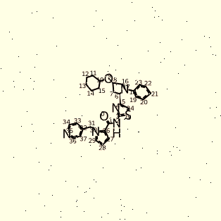 O=C(Nc1nc([C@H]2C[C@@H](OC3CCCCC3)CN2c2ccccc2)cs1)c1cccn1Cc1ccncc1